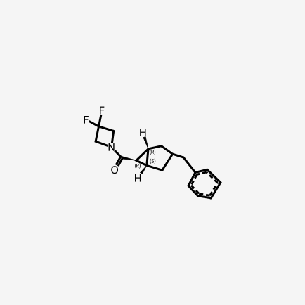 O=C([C@H]1[C@@H]2CC(Cc3ccccc3)C[C@@H]21)N1CC(F)(F)C1